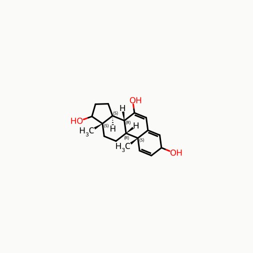 C[C@]12C=CC(O)C=C1C=C(O)[C@@H]1[C@H]2CC[C@]2(C)C(O)CC[C@@H]12